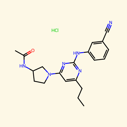 CCCc1cc(N2CCC(NC(C)=O)C2)nc(Nc2cccc(C#N)c2)n1.Cl